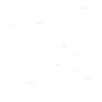 CCC(CCC(C)C(C)c1ccc(OC2OC2C)cc1)N(c1ccc(C)cc1)c1ccc(C)cc1